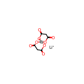 O=C1CC(=O)O[B-]2(O1)OC(=O)CC(=O)O2.[Li+]